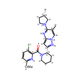 COc1ccc(F)c(C(=O)N2CCCC[C@H]2c2cc3nc(N4CC[C@H](C)C4)c(C)cn3n2)n1